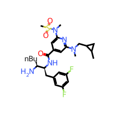 CCCC[C@H](N)[C@H](Cc1cc(F)cc(F)c1)NC(=O)c1cc(N(C)CC2CC2C)nc(N(C)S(C)(=O)=O)c1